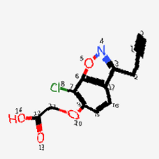 C#CCc1noc2c(Cl)c(OCC(=O)O)ccc12